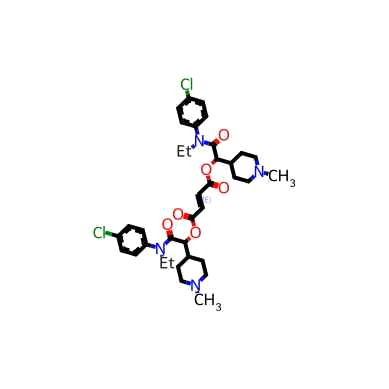 CCN(C(=O)C(OC(=O)/C=C/C(=O)OC(C(=O)N(CC)c1ccc(Cl)cc1)C1CCN(C)CC1)C1CCN(C)CC1)c1ccc(Cl)cc1